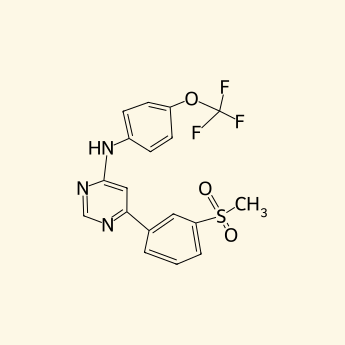 CS(=O)(=O)c1cccc(-c2cc(Nc3ccc(OC(F)(F)F)cc3)ncn2)c1